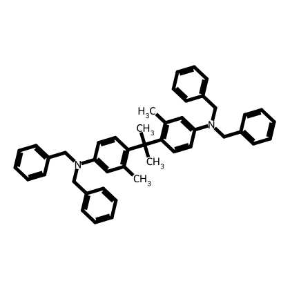 Cc1cc(N(Cc2ccccc2)Cc2ccccc2)ccc1C(C)(C)c1ccc(N(Cc2ccccc2)Cc2ccccc2)cc1C